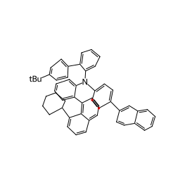 CC(C)(C)c1ccc(-c2ccccc2N(c2ccc(-c3ccc4ccccc4c3)cc2)c2ccccc2-c2cccc3cccc(C4CCCCC4)c23)cc1